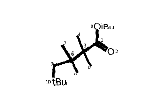 CC(C)COC(=O)C(C)(C)C(C)(C)CC(C)(C)C